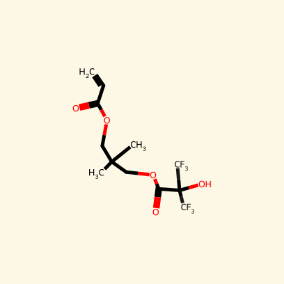 C=CC(=O)OCC(C)(C)COC(=O)C(O)(C(F)(F)F)C(F)(F)F